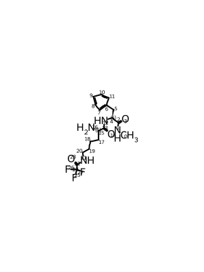 CNC(=O)[C@H](Cc1ccccc1)NC(=O)[C@@H](N)CCCCNC(=O)C(F)(F)F